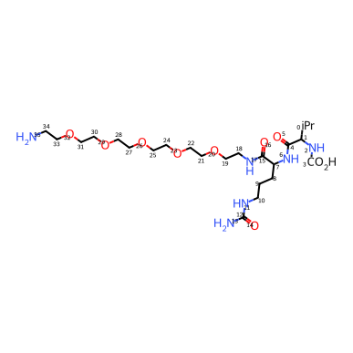 CC(C)C(NC(=O)O)C(=O)NC(CCCNC(N)=O)C(=O)NCCOCCOCCOCCOCCOCCN